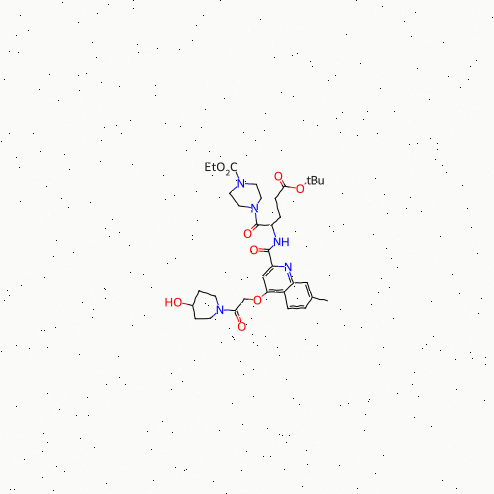 CCOC(=O)N1CCN(C(=O)C(CCC(=O)OC(C)(C)C)NC(=O)c2cc(OCC(=O)N3CCC(O)CC3)c3ccc(C)cc3n2)CC1